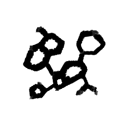 NC(=O)c1cc(N2CCOCC2)cc2c1nc(-c1cncs1)n2-c1ccnc2c(Cl)cccc12